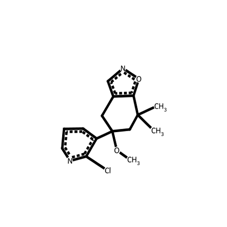 COC1(c2cccnc2Cl)Cc2cnoc2C(C)(C)C1